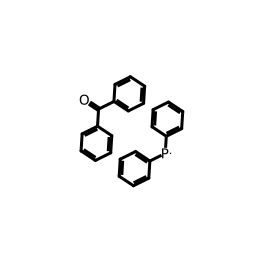 O=C(c1ccccc1)c1ccccc1.c1ccc([P]c2ccccc2)cc1